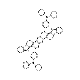 c1ccc(N(c2ccccc2)c2ccc(-c3cc4cc5c(cc(-c6ccc(N(c7ccccc7)c7ccccc7)cc6)c6c5ccc5c7ccccc7oc56)cc4c4ccc5c6ccccc6oc5c34)cc2)cc1